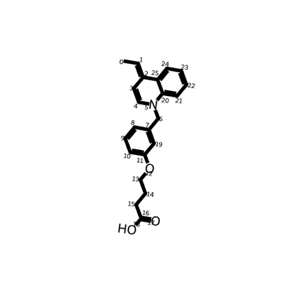 CC=C1C=CN(Cc2cccc(OCCCC(=O)O)c2)c2ccccc21